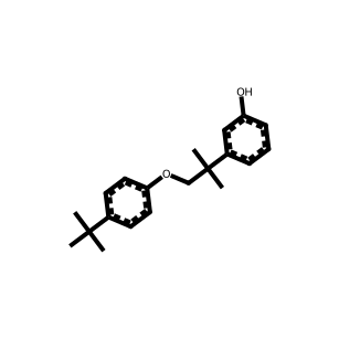 CC(C)(C)c1ccc(OCC(C)(C)c2cccc(O)c2)cc1